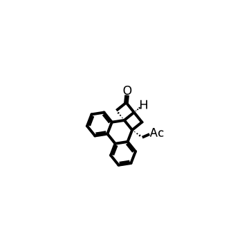 CC(=O)C[C@@]12C[C@@H]3C(=O)C[C@]31c1ccccc1-c1ccccc12